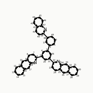 c1cc(-c2cc(-c3ccc4cc5ccccc5cc4n3)cc(-c3ccc4cc5ccccc5cc4n3)c2)cc(-c2ccc3ccccc3n2)c1